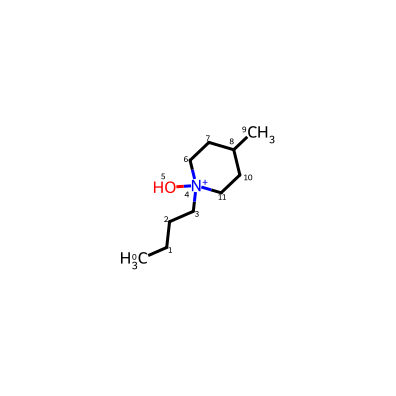 CCCC[N+]1(O)CCC(C)CC1